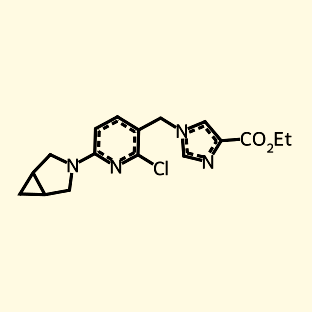 CCOC(=O)c1cn(Cc2ccc(N3CC4CC4C3)nc2Cl)cn1